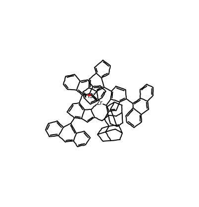 C[SiH](C)[Zr]([CH]1C(CC23CC4CC(CC(C4)C2)C3)=Cc2c(-c3c4ccccc4cc4ccccc34)ccc(-c3c4ccccc4cc4ccccc34)c21)[CH]1C(CC23CC4CC(CC(C4)C2)C3)=Cc2c(-c3c4ccccc4cc4ccccc34)ccc(-c3c4ccccc4cc4ccccc34)c21